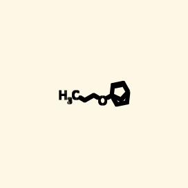 CCCOC12C=CC(CC1)C2